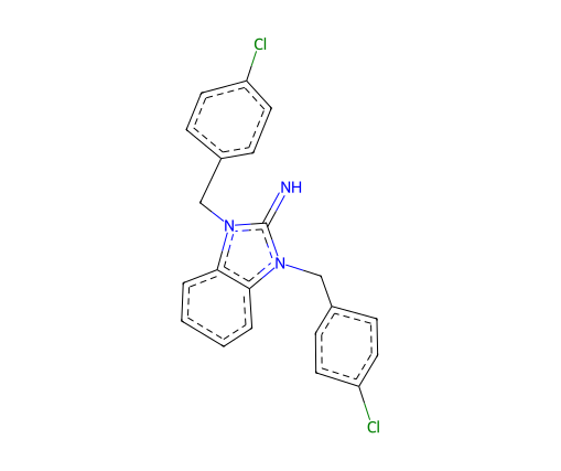 N=c1n(Cc2ccc(Cl)cc2)c2ccccc2n1Cc1ccc(Cl)cc1